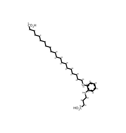 O=C(O)CCCCCCCCCCCCCCCCCCCCOc1ccccc1SCCCC(=O)O